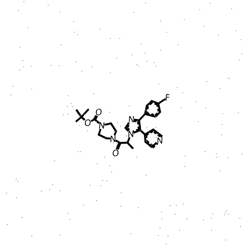 CC(C(=O)N1CCN(C(=O)OC(C)(C)C)CC1)n1cnc(-c2ccc(F)cc2)c1-c1ccncc1